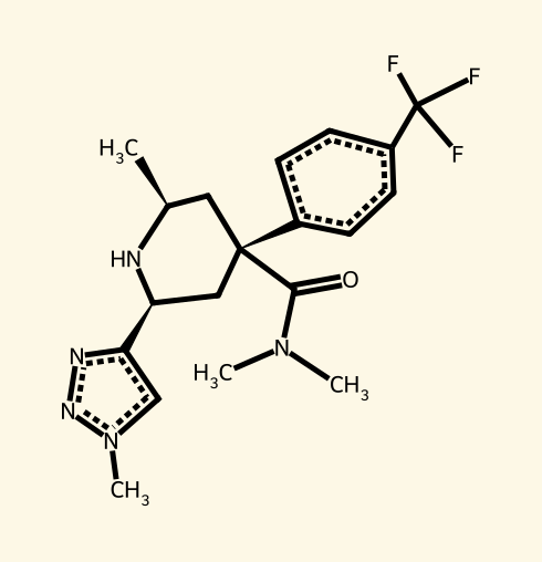 C[C@H]1C[C@@](C(=O)N(C)C)(c2ccc(C(F)(F)F)cc2)C[C@@H](c2cn(C)nn2)N1